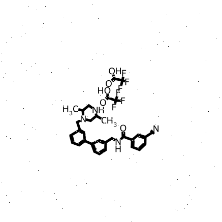 CC1CN(Cc2cccc(-c3cccc(CNC(=O)c4cccc(C#N)c4)c3)c2)C(C)CN1.O=C(O)C(F)(F)F.O=C(O)C(F)(F)F